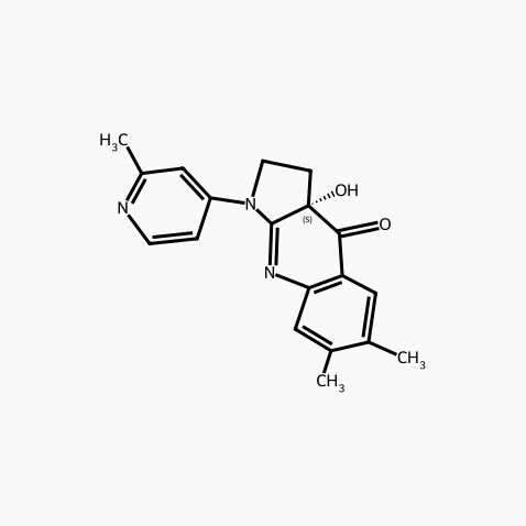 Cc1cc(N2CC[C@@]3(O)C(=O)c4cc(C)c(C)cc4N=C23)ccn1